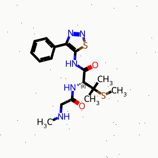 CNCC(=O)N[C@H](C(=O)Nc1snnc1-c1ccccc1)C(C)(C)SC